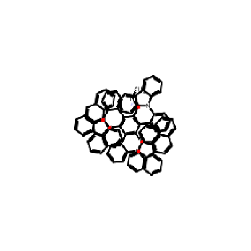 C/N=C/c1c(-c2ccccc2-n2c3ccccc3c3ccccc32)c(-n2c3ccccc3c3ccc4ccccc4c32)c(-c2ccccc2-n2c3ccccc3c3ccccc32)c(-n2c3ccccc3c3ccc4ccccc4c32)c1-c1ccccc1-n1c2ccccc2c2ccccc21